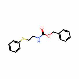 O=C(NCCSc1ccccc1)OCc1ccccc1